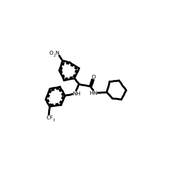 O=C(NC1CCCCC1)C(Nc1cccc(C(F)(F)F)c1)c1ccc([N+](=O)[O-])cc1